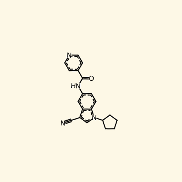 N#Cc1cn(C2CCCC2)c2ccc(NC(=O)c3ccncc3)cc12